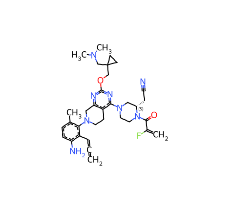 C=C=Cc1c(N)ccc(C)c1N1CCc2c(nc(OCC3(CN(C)C)CC3)nc2N2CCN(C(=O)C(=C)F)[C@@H](CC#N)C2)C1